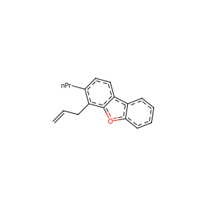 C=CCc1c(CCC)ccc2c1oc1ccccc12